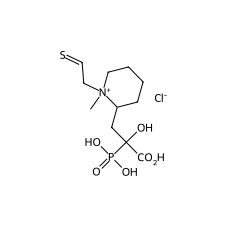 C[N+]1(CC=S)CCCCC1CC(O)(C(=O)O)P(=O)(O)O.[Cl-]